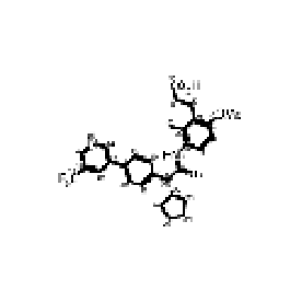 COc1ccc(NC(=O)[C@@H](c2ccc(-c3cncc(C(F)(F)F)c3)cc2)C2CCCC2)c(C)c1CCC(=O)O